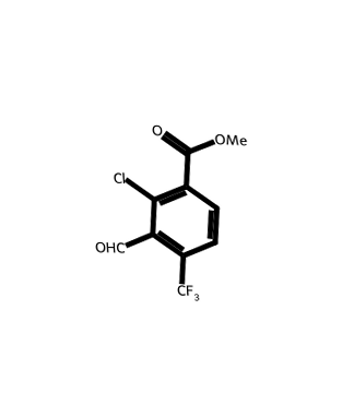 COC(=O)c1ccc(C(F)(F)F)c(C=O)c1Cl